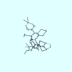 CCSc1nc(N2C3CCC2CN(C(=O)OC(C)(C)C)C3)c2c3c(c(B4OCC(C)(C)CO4)c(F)c2n1)COC3